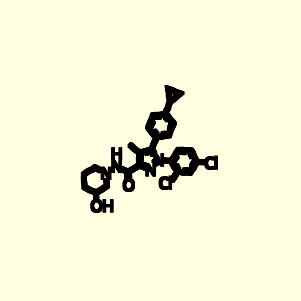 Cc1c(C(=O)NN2CCCC(O)C2)nn(-c2ccc(Cl)cc2Cl)c1-c1ccc(C2CC2)cc1